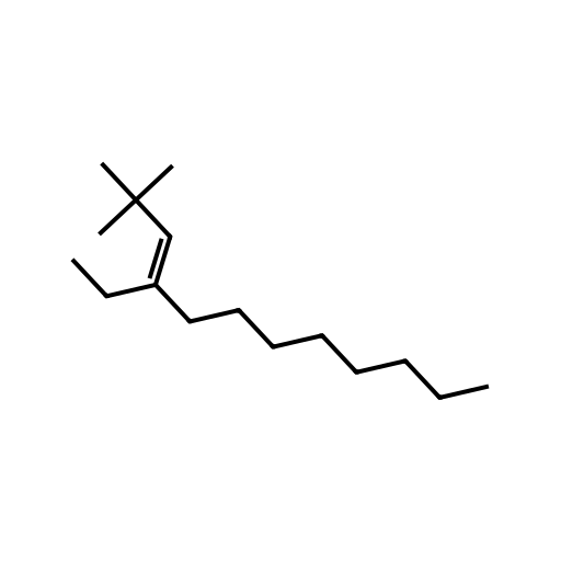 CCCCCCCCC(=CC(C)(C)C)CC